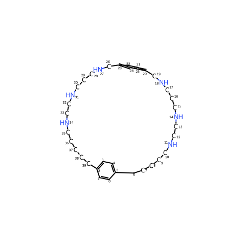 c1cc2ccc1CCCCCNCCNCCCNCc1ccc(cc1)CNCCCNCCNCCCCC2